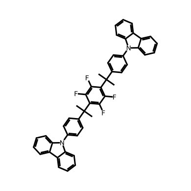 CC(C)(c1ccc(-n2c3ccccc3c3ccccc32)cc1)c1c(F)c(F)c(C(C)(C)c2ccc(-n3c4ccccc4c4ccccc43)cc2)c(F)c1F